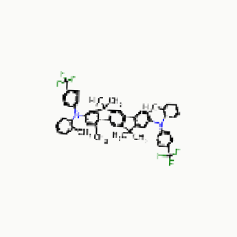 Cc1ccccc1N(c1ccc(C(F)(F)F)cc1)c1ccc2c(c1)C(C)(C)c1cc3c(cc1-2)C(C)(C)c1cc(N(c2ccc(C(F)(F)F)cc2)c2ccccc2C)cc(C)c1-3